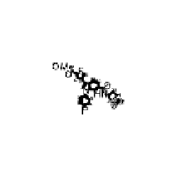 COC(=O)c1cc(-c2cn(-c3ccc(F)cc3)c3cc(C(=O)NC4CCS(=O)(=O)C4)ccc23)cs1